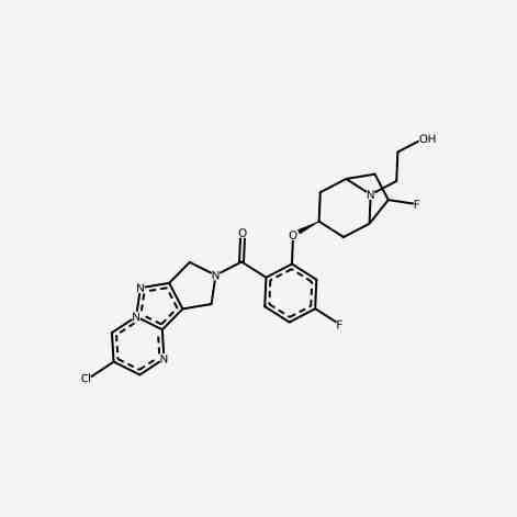 O=C(c1ccc(F)cc1O[C@H]1CC2CC(F)C(C1)N2CCO)N1Cc2nn3cc(Cl)cnc3c2C1